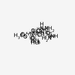 COC(=O)CCCN(C(=O)Oc1ccc2[nH]c(C(N)c3ccc(C(=N)N)cc3)nc2c1C)c1ccccc1.Cl.Cl